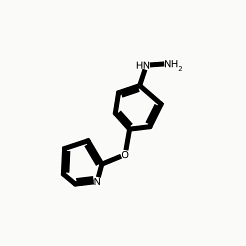 NNc1ccc(Oc2ccccn2)cc1